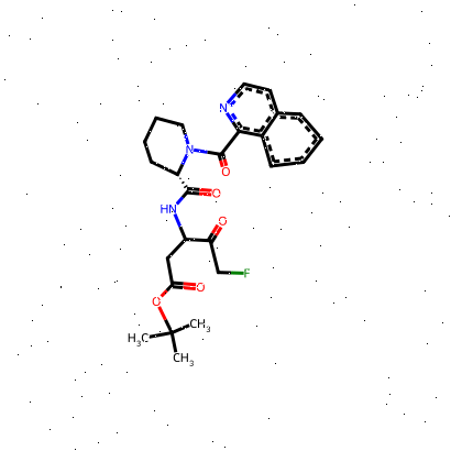 CC(C)(C)OC(=O)CC(NC(=O)[C@@H]1CCCCN1C(=O)c1nccc2ccccc12)C(=O)CF